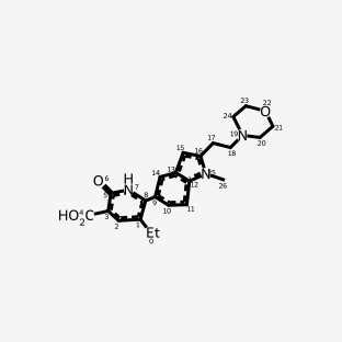 CCc1cc(C(=O)O)c(=O)[nH]c1-c1ccc2c(c1)cc(CCN1CCOCC1)n2C